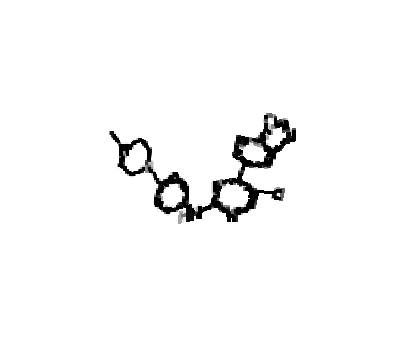 CN1CCN(c2ccc(Nc3ncc(Cl)c(-c4ccc5ocnc5c4)n3)cc2)CC1